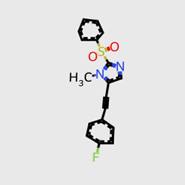 Cn1c(C#Cc2ccc(F)cc2)cnc1S(=O)(=O)c1ccccc1